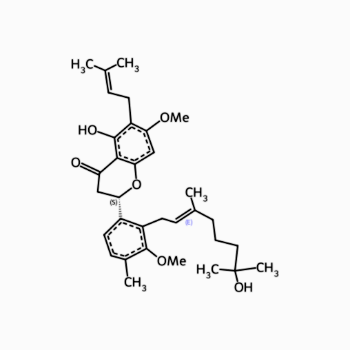 COc1cc2c(c(O)c1CC=C(C)C)C(=O)C[C@@H](c1ccc(C)c(OC)c1C/C=C(\C)CCCC(C)(C)O)O2